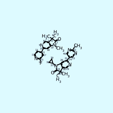 CN1C(=O)C(C)(C)c2cnc(-c3ccnc(F)c3)cc21.Cc1ncc(-c2cc3c(cn2)C(C)(C)C(=O)N3C2CC2)cn1